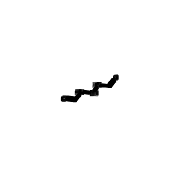 O=CNBNC=O